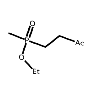 CCOP(C)(=O)CCC(C)=O